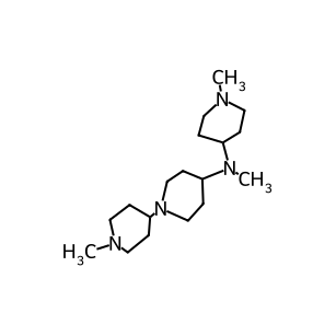 CN1CCC(N2CCC(N(C)C3CCN(C)CC3)CC2)CC1